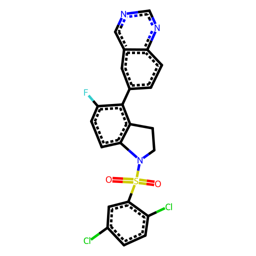 O=S(=O)(c1cc(Cl)ccc1Cl)N1CCc2c1ccc(F)c2-c1ccc2ncncc2c1